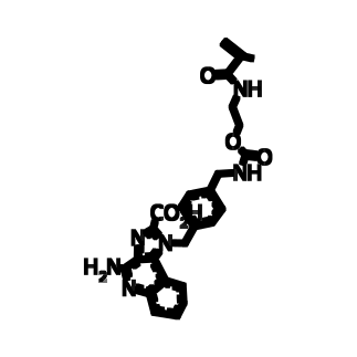 C=C(C)C(=O)NCCOC(=O)NCc1ccc(Cn2c(C(=O)O)nc3c(N)nc4ccccc4c32)cc1